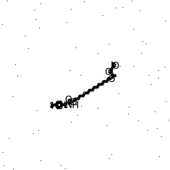 C=C(C)c1ccc(C(C)(C)NC(=O)OCCCCCCCCCCCCCCCOC(C)C2OC2C2CO2)cc1